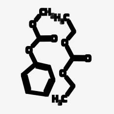 CCOC(=O)OCC.COC(=O)Oc1ccccc1